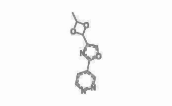 CC1OC(c2coc(-c3ccnnc3)n2)O1